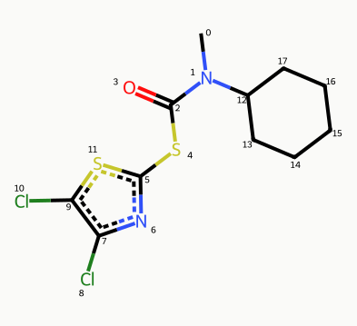 CN(C(=O)Sc1nc(Cl)c(Cl)s1)C1CCCCC1